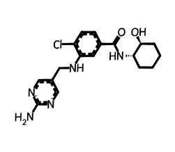 Nc1ncc(CNc2cc(C(=O)N[C@H]3CCCC[C@@H]3O)ccc2Cl)cn1